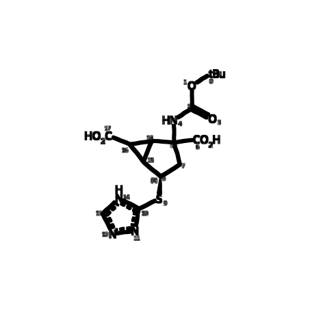 CC(C)(C)OC(=O)NC1(C(=O)O)C[C@@H](Sc2nnc[nH]2)C2C(C(=O)O)C21